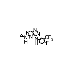 Fc1ccc(Nc2ncnc3cnc(NC4CC4)nc23)cc1C(F)(F)F